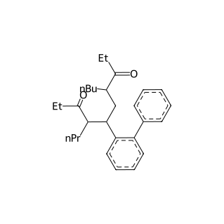 CCCCC(CC(c1ccccc1-c1ccccc1)C(CCC)C(=O)CC)C(=O)CC